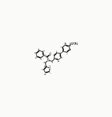 COc1ccc(-c2ccc(CN(Cc3ccco3)C(=O)c3ccccc3)cc2)cc1